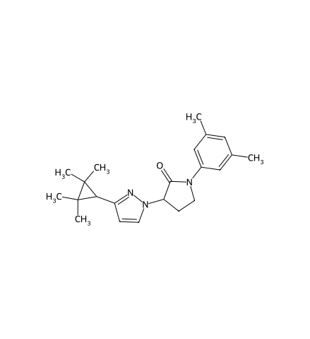 Cc1cc(C)cc(N2CCC(n3ccc(C4C(C)(C)C4(C)C)n3)C2=O)c1